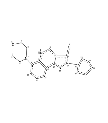 O=c1c2c[nH]c3c(N4CCOCC4)nccc3c-2nn1-c1ccccc1